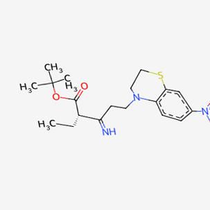 CC[C@@H](C(=N)CCN1CCSc2cc([N+](=O)[O-])ccc21)C(=O)OC(C)(C)C